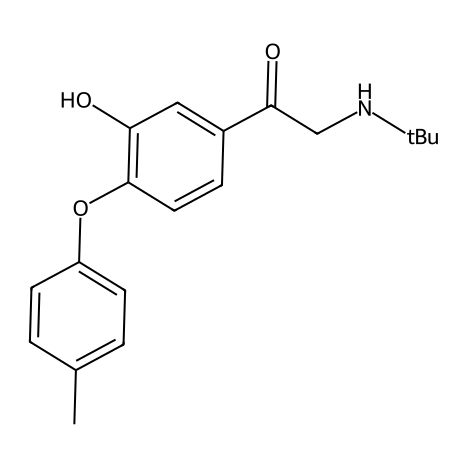 Cc1ccc(Oc2ccc(C(=O)CNC(C)(C)C)cc2O)cc1